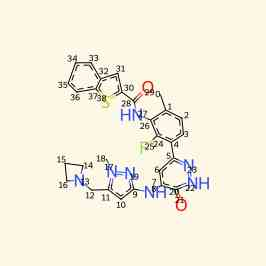 Cc1ccc(-c2cc(Nc3cc(CN4CCC4)n(C)n3)c(=O)[nH]n2)c(F)c1NC(=O)c1cc2ccccc2s1